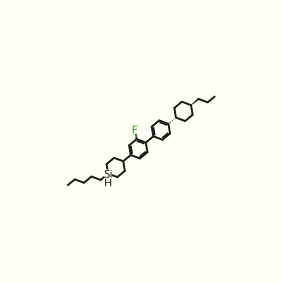 CCCCC[SiH]1CCC(c2ccc(-c3ccc([C@H]4CC[C@H](CCC)CC4)cc3)c(F)c2)CC1